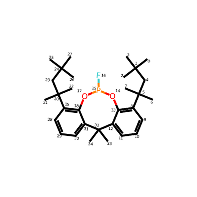 CC(C)(C)CC(C)(C)c1cccc2c1OP(F)Oc1c(C(C)(C)CC(C)(C)C)cccc1C2(C)C